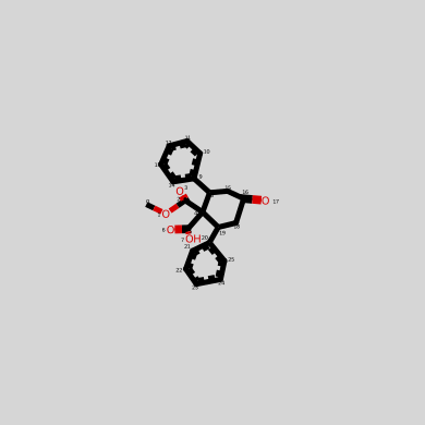 COC(=O)C1(C(=O)O)C(c2ccccc2)CC(=O)CC1c1ccccc1